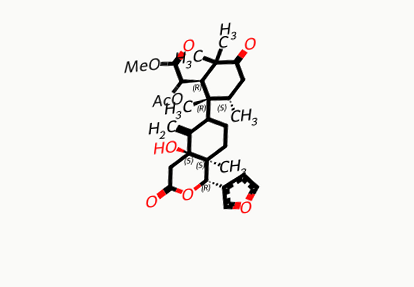 C=C1C([C@@]2(C)[C@@H](C)CC(=O)C(C)(C)[C@@H]2C(OC(C)=O)C(=O)OC)CC[C@@]2(C)[C@H](c3ccoc3)OC(=O)C[C@]12O